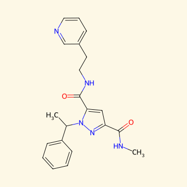 CNC(=O)c1cc(C(=O)NCCc2cccnc2)n(C(C)c2ccccc2)n1